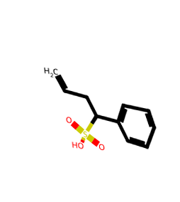 C=CCC(c1ccccc1)S(=O)(=O)O